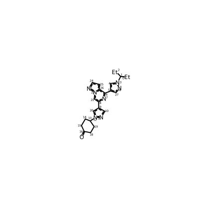 CCC(CC)n1cc(-c2nc(-c3cnn(C4CCC(=O)CC4)c3)cn3nccc23)cn1